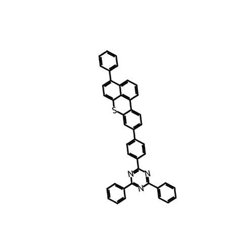 c1ccc(-c2nc(-c3ccccc3)nc(-c3ccc(-c4ccc5c(c4)Sc4ccc(-c6ccccc6)c6cccc-5c46)cc3)n2)cc1